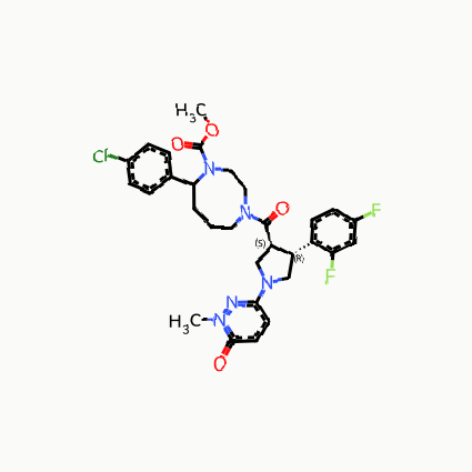 COC(=O)N1CCN(C(=O)[C@@H]2CN(c3ccc(=O)n(C)n3)C[C@H]2c2ccc(F)cc2F)CCCC1c1ccc(Cl)cc1